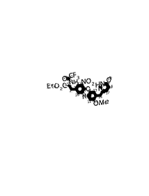 CCOC(=O)[C@H](Cc1cc([N+](=O)[O-])c(Oc2ccc(OC)c(Cc3ccc(=O)[nH]n3)c2)c([N+](=O)[O-])c1)NC(=O)C(F)(F)F